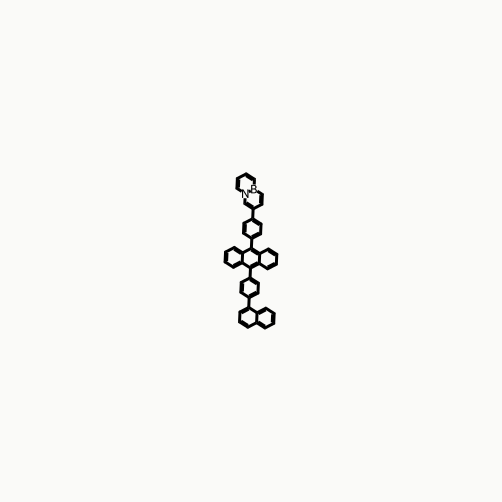 C1=CB2C=CC(c3ccc(-c4c5ccccc5c(-c5ccc(-c6cccc7ccccc67)cc5)c5ccccc45)cc3)=CN2C=C1